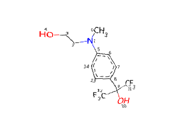 CN(CCO)c1ccc(C(O)(C(F)(F)F)C(F)(F)F)cc1